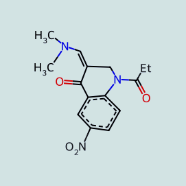 CCC(=O)N1C/C(=C/N(C)C)C(=O)c2cc([N+](=O)[O-])ccc21